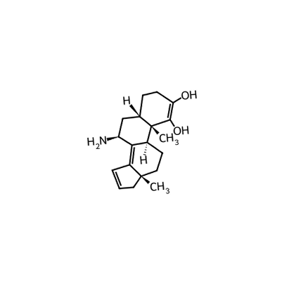 C[C@@]12CC=CC1=C1[C@@H](N)C[C@@H]3CCC(O)=C(O)[C@]3(C)[C@H]1CC2